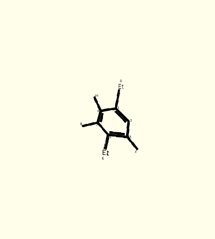 CCc1cc(C)c(CC)c(C)c1C